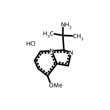 COc1cccn2c(C(C)(C)N)ncc12.Cl